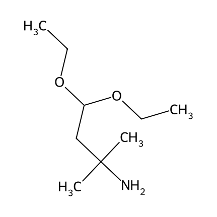 CCOC(CC(C)(C)N)OCC